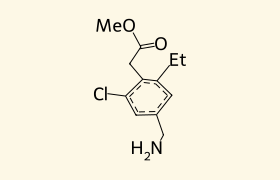 CCc1cc(CN)cc(Cl)c1CC(=O)OC